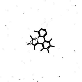 CC1=C2c3c(C)c(C)c(C)c(C)c3-c3cccc(C)c3N2C(C)N1C